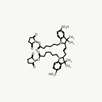 CC1(C)c2cc(S(=O)(=O)O)ccc2N(CCCCCC(=O)ON2C(=O)CCC2=O)C1C=CCC1N(CCCCCC(=O)ON2C(=O)CCC2=O)c2ccc(S(=O)(=O)O)cc2C1(C)C